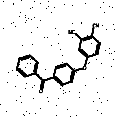 N#Cc1ccc(Oc2ccc(C(=O)c3ccccc3)cc2)cc1C#N